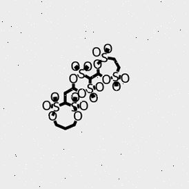 O=S1(=O)CCS(=O)(=O)OC(C2S(=O)(=O)OC(CC3S(=O)(=O)OCCCOS3(=O)=O)OS2(=O)=O)O1